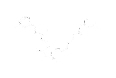 CC(CO[N+](=O)[O-])OC(=O)CCC/C=C\C[C@@H]1[C@@H](/C=C/[C@@H](O)COc2cccc(Cl)c2)[C@H](O)C[C@@H]1O